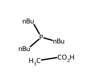 CC(=O)O.CCCCP(CCCC)CCCC